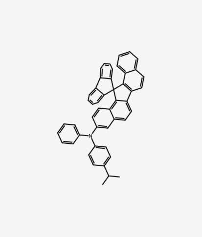 CC(C)c1ccc(N(c2ccccc2)c2ccc3c4c(ccc3c2)-c2ccc3ccccc3c2C42c3ccccc3-c3ccccc32)cc1